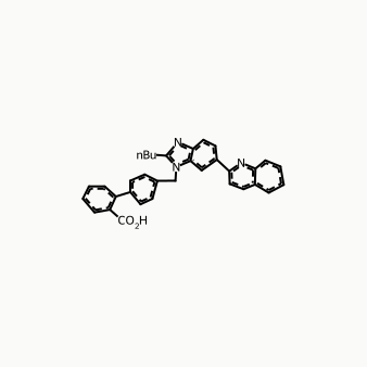 CCCCc1nc2ccc(-c3ccc4ccccc4n3)cc2n1Cc1ccc(-c2ccccc2C(=O)O)cc1